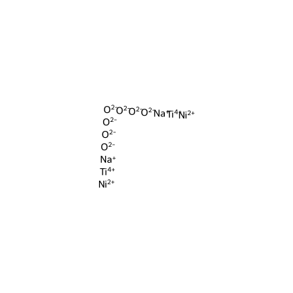 [Na+].[Na+].[Ni+2].[Ni+2].[O-2].[O-2].[O-2].[O-2].[O-2].[O-2].[O-2].[Ti+4].[Ti+4]